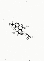 CCOC(=O)C1=C(COCC(=O)O)NC(C)=C(C(=O)OC)C1c1cccc(C(F)(F)F)c1Cl